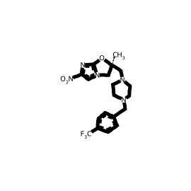 C[C@]1(CN2CCN(Cc3ccc(C(F)(F)F)cc3)CC2)Cn2cc([N+](=O)[O-])nc2O1